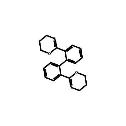 c1ccc(-c2ccccc2C2=NCCCO2)c(C2=NCCCO2)c1